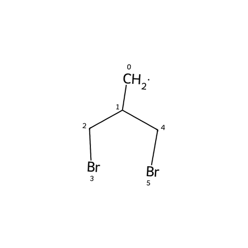 [CH2]C(CBr)CBr